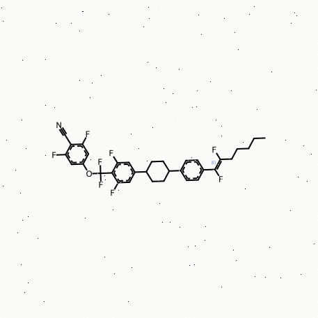 CCCCC/C(F)=C(\F)c1ccc(C2CCC(c3cc(F)c(C(F)(F)Oc4cc(F)c(C#N)c(F)c4)c(F)c3)CC2)cc1